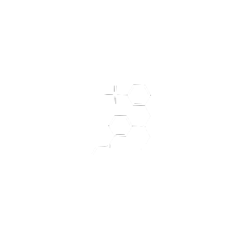 CCN(Cc1cccc(S(=O)(=O)O)c1)c1cccc(NC=O)c1